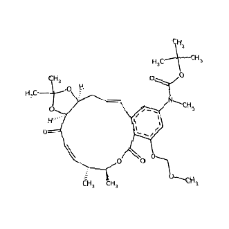 COCOc1cc(N(C)C(=O)OC(C)(C)C)cc2c1C(=O)O[C@@H](C)[C@H](C)/C=C\C(=O)[C@H]1OC(C)(C)O[C@H]1C/C=C/2